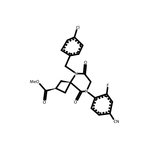 COC(=O)[C@H]1C[C@]2(C1)C(=O)N(c1ccc(C#N)cc1F)CC(=O)N2Cc1ccc(Cl)cc1